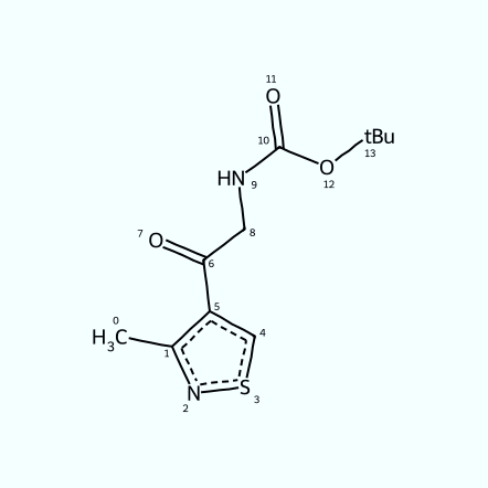 Cc1nscc1C(=O)CNC(=O)OC(C)(C)C